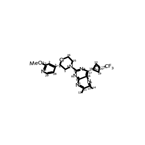 COc1cc([C@H]2CN(c3nc4nc(C)c(C)nc4c([C@]45C[C@](C(F)(F)F)(C4)C5)n3)CCO2)ccn1